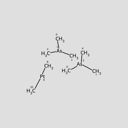 C[As](C)C.C[As](C)C.[CH3][Pt][CH3]